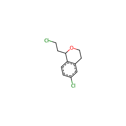 ClCCC1OCCc2cc(Cl)ccc21